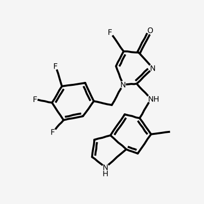 Cc1cc2[nH]ccc2cc1Nc1nc(=O)c(F)cn1Cc1cc(F)c(F)c(F)c1